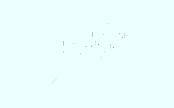 Nc1nc(=O)n([C@@H]2O[C@H](CC(=O)OCc3ccccc3)[C@@H](O)[C@H]2O)cc1F